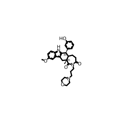 COc1ccc2[nH]c3c(c2c1)C[C@@]1(C)C(=O)N(CCCN2CCOCC2)C(=O)CCC1[C@@H]3c1cccc(O)c1